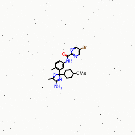 COC1CCC(C2(c3cc(NC(=O)c4ncc(Br)cn4)ccc3C)N=C(C)C(N)=N2)CC1